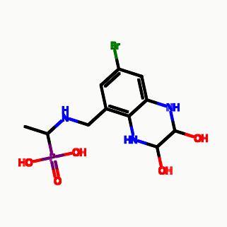 CC(NCc1cc(Br)cc2c1NC(O)C(O)N2)P(=O)(O)O